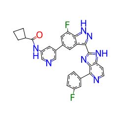 O=C(Nc1cncc(-c2cc(F)c3[nH]nc(-c4nc5c(-c6cccc(F)c6)nccc5[nH]4)c3c2)c1)C1CCC1